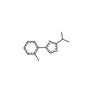 CC(C)c1nc(-c2ccccc2F)cs1